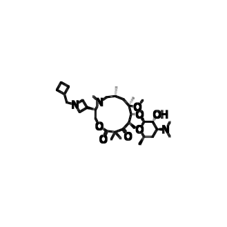 CO[C@]1(C)C[C@@H](C)CN(C)[C@H](C2CN(CC3CCC3)C2)COC(=O)C(C)(C)C(=O)[C@H](C)[C@H]1O[C@@H]1O[C@H](C)C[C@H](N(C)C)[C@H]1O